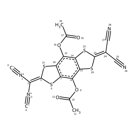 [C-]#[N+]C([N+]#[C-])=C1Sc2c(OC(C)=O)c3c(c(OC(C)=O)c2S1)SC(=C(C#N)C#N)S3